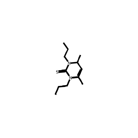 CCCN1C(=S)N(CCC)C(C)C=C1C